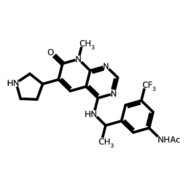 CC(=O)Nc1cc(C(C)Nc2ncnc3c2cc(C2CCNC2)c(=O)n3C)cc(C(F)(F)F)c1